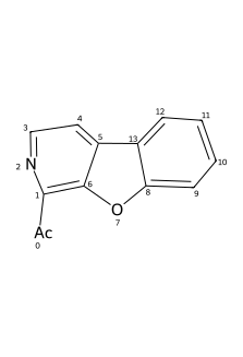 CC(=O)c1nccc2c1oc1ccccc12